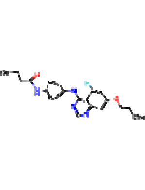 COCCOc1cc(F)c2c(Nc3ccc(NC(=O)CCC(C)(C)C)cc3)ncnc2c1